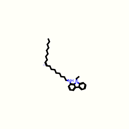 CCCCCCCC/C=C\CCCCCCCCNc1cccc2c3ccccc3n(CC)c12